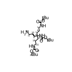 CC(C)(C)OC(=O)NCCCC(/C=C/CN)(CCCNC(=O)OC(C)(C)C)NC(=O)OC(C)(C)C